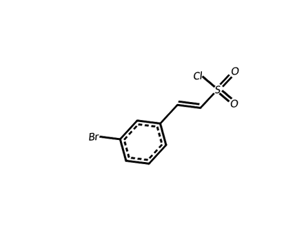 O=S(=O)(Cl)/C=C/c1cccc(Br)c1